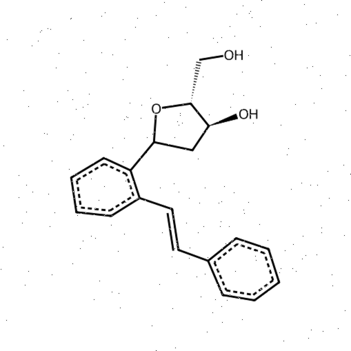 OC[C@H]1OC(c2ccccc2C=Cc2ccccc2)C[C@@H]1O